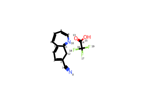 N#CC1=CC=C2C=CC=CN=C2C1.O=C(O)C(F)(F)F